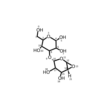 OCC1O[C@@H](O)C(O)C(O[C@@H]2OC3O[C@@H]3C(O)C2O)[C@H]1O